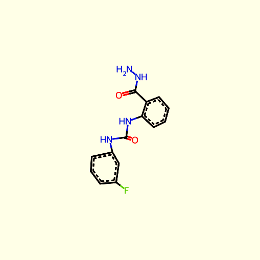 NNC(=O)c1ccccc1NC(=O)Nc1cccc(F)c1